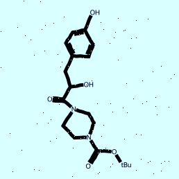 CC(C)(C)OC(=O)N1CCN(C(=O)C(O)Cc2ccc(O)cc2)CC1